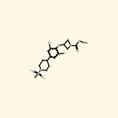 CC(C)(C)OC(=O)N1CC(Oc2c(F)cc(C3CCN(S(C)(=O)=O)CC3)cc2F)C1